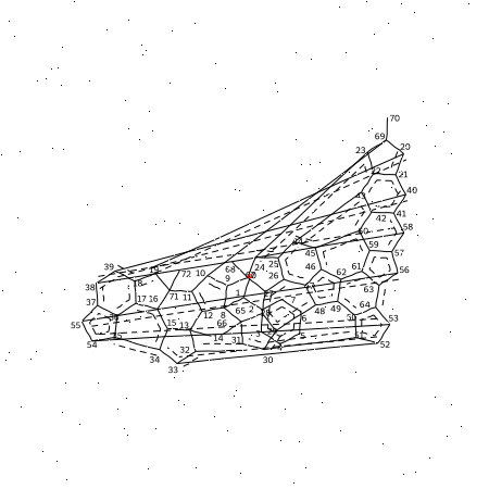 CC(c1ccccc1)C12C3=C4C5=C1C1(C)c6c7c8c9c(c%10c%11c%12c(c%13c%14c%15c(c%16c%17c%18c(c1c1c6c6c8c8c%19c9c%11c9c%11c%12c%14c%12c%14c%15c%17c%15c%17c%18c1c1c6c8c6c(c9%19)c(c%11%12)c(c%14%15)c6c1%17)C%162C)C3%13C)C4%10C)C57C